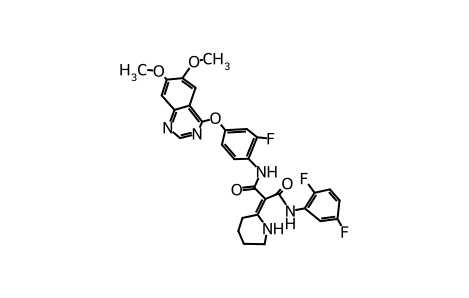 COc1cc2ncnc(Oc3ccc(NC(=O)/C(C(=O)Nc4cc(F)ccc4F)=C4\CCCCN4)c(F)c3)c2cc1OC